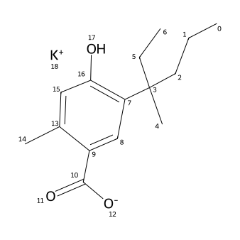 CCCC(C)(CC)c1cc(C(=O)[O-])c(C)cc1O.[K+]